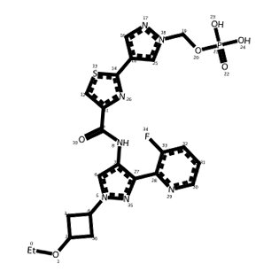 CCOC1CC(n2cc(NC(=O)c3csc(-c4cnn(COP(=O)(O)O)c4)n3)c(-c3ncccc3F)n2)C1